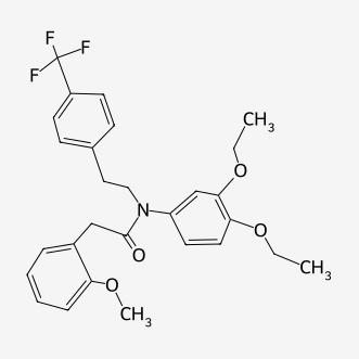 CCOc1ccc(N(CCc2ccc(C(F)(F)F)cc2)C(=O)Cc2ccccc2OC)cc1OCC